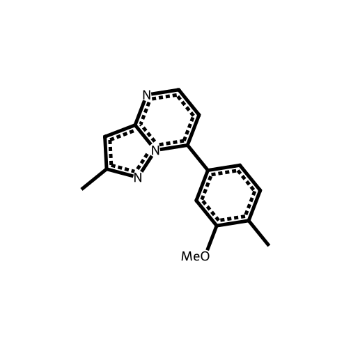 COc1cc(-c2ccnc3cc(C)nn23)ccc1C